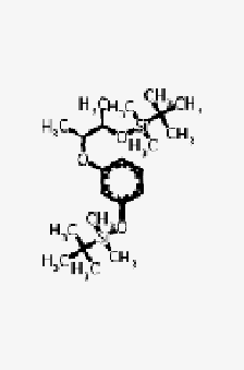 C[C@H](Oc1cccc(O[Si](C)(C)C(C)(C)C)c1)[C@@H](C)O[Si](C)(C)C(C)(C)C